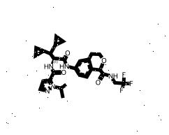 CC(C)n1nccc1C(=O)N[C@H](C(=O)Nc1ccc2c(c1)CCOC2C(=O)NCC(F)(F)F)C(C1CC1)C1CC1